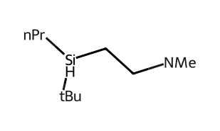 CCC[SiH](CCNC)C(C)(C)C